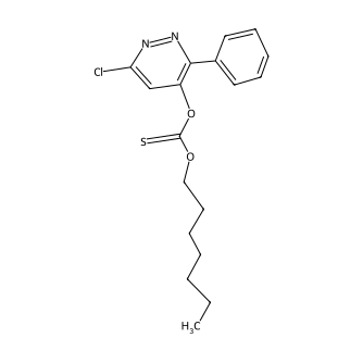 CCCCCCCOC(=S)Oc1cc(Cl)nnc1-c1ccccc1